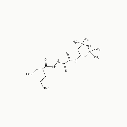 CCCCCCCCCC/C=C/C(CC(=O)O)C(=O)NNC(=O)C(=O)NC1CC(C)(C)NC(C)(C)C1